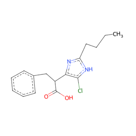 CCCCc1nc(C(Cc2ccccc2)C(=O)O)c(Cl)[nH]1